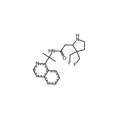 CC(C)(NC(=O)CC1NCCC1(CF)CF)c1nccc2ccccc12